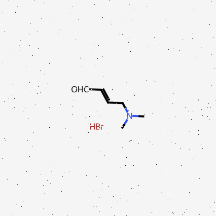 Br.CN(C)CC=CC=O